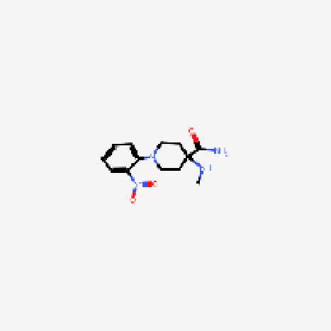 CNC1(C(N)=O)CCN(c2ccccc2[N+](=O)[O-])CC1